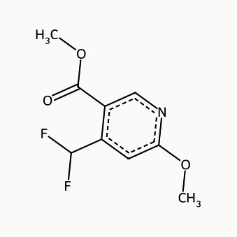 COC(=O)c1cnc(OC)cc1C(F)F